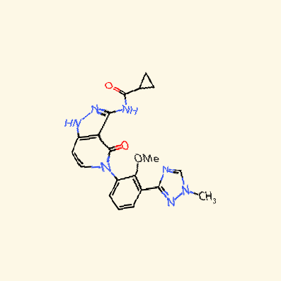 COc1c(-c2ncn(C)n2)cccc1-n1ccc2[nH]nc(NC(=O)C3CC3)c2c1=O